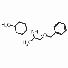 CC(COCc1ccccc1)N[C@H]1CC[C@H](C)CC1